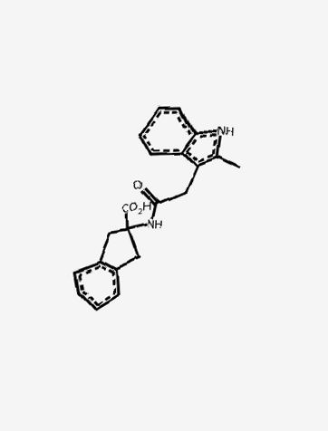 Cc1[nH]c2ccccc2c1CC(=O)NC1(C(=O)O)Cc2ccccc2C1